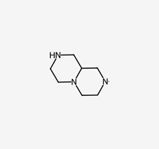 C1CN2CCNCC2C[N]1